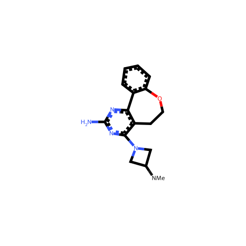 CNC1CN(c2nc(N)nc3c2CCOc2ccccc2-3)C1